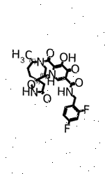 C[C@H]1CC[C@]2(CC(=O)NO2)[C@H]2CN1C(=O)c1c(O)c(=O)c(C(=O)NCc3ccc(F)cc3F)cn12